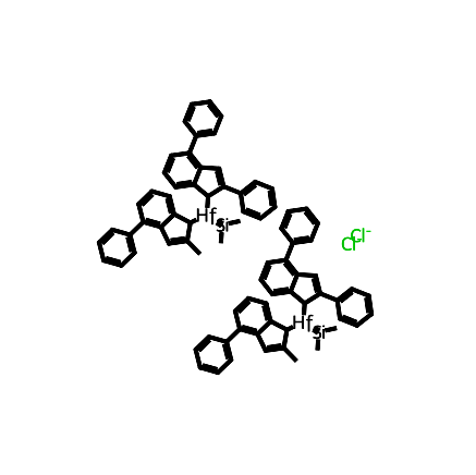 CC1=Cc2c(-c3ccccc3)cccc2[CH]1[Hf]([CH]1C(c2ccccc2)=Cc2c(-c3ccccc3)cccc21)=[Si](C)C.CC1=Cc2c(-c3ccccc3)cccc2[CH]1[Hf]([CH]1C(c2ccccc2)=Cc2c(-c3ccccc3)cccc21)=[Si](C)C.[Cl-].[Cl-]